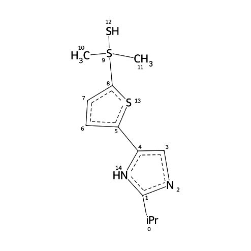 CC(C)c1ncc(-c2ccc(S(C)(C)S)s2)[nH]1